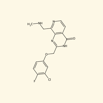 CNCc1nccc2c(=O)[nH]c(COc3ccc(F)c(Cl)c3)nc12